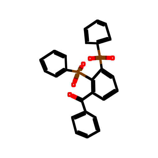 O=C(c1ccccc1)c1cccc(S(=O)(=O)c2ccccc2)c1S(=O)(=O)c1ccccc1